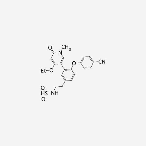 CCOc1cc(=O)n(C)cc1-c1cc(CCN[SH](=O)=O)ccc1Oc1ccc(C#N)cc1